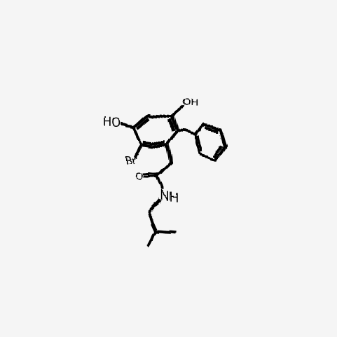 CC(C)CNC(=O)Cc1c(Br)c(O)cc(O)c1-c1ccccc1